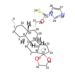 C[C@H]1CC[C@@H]2[C@H]3CC[C@@]4(C)[C@@H](CCC45OCCO5)[C@@H]3C[C@@H](COC(=S)n3ccnc3)[C@H]2C1